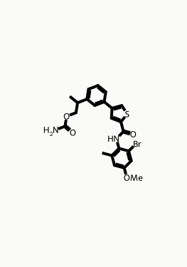 COc1cc(C)c(NC(=O)c2cc(-c3cccc(C(C)COC(N)=O)c3)cs2)c(Br)c1